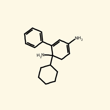 NC1=CCC(N)(C2CCCCC2)C(c2ccccc2)=C1